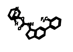 O=C(NC1CCc2ccc(-c3ccccc3C(F)(F)F)cc21)O[C@H]1CN2CCC1CC2